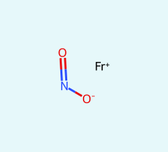 O=N[O-].[Fr+]